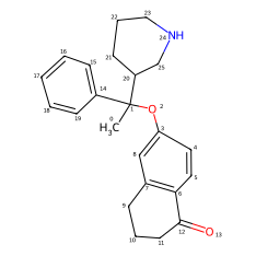 CC(Oc1ccc2c(c1)CCCC2=O)(c1ccccc1)C1CCCNC1